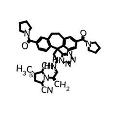 C=C(CNCCC1(c2nnn[nH]2)c2ccc(C(=O)N3CCCC3)cc2CCc2cc(C(=O)N3CCCC3)ccc21)N1C(C#N)C[C@H](C)C1C